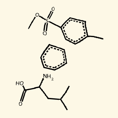 CC(C)CC(N)C(=O)O.COS(=O)(=O)c1ccc(C)cc1.c1ccccc1